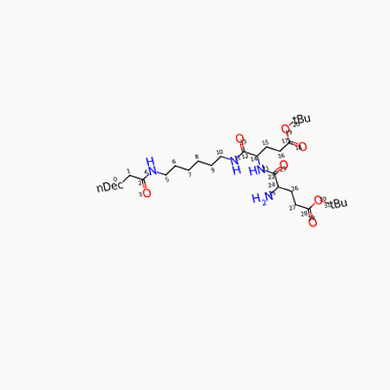 CCCCCCCCCCCC(=O)NCCCCCCNC(=O)C(CCC(=O)OC(C)(C)C)NC(=O)C(N)CCC(=O)OC(C)(C)C